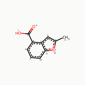 Cc1cc2c(C(=O)O)cccc2o1